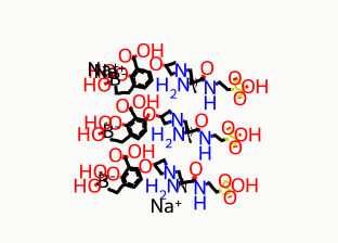 C[C@@](N)(CN1CC(Oc2ccc3c(c2C(=O)O)O[B-](O)(O)CC3)C1)C(=O)NCCS(=O)(=O)O.C[C@@](N)(CN1CC(Oc2ccc3c(c2C(=O)O)O[B-](O)(O)CC3)C1)C(=O)NCCS(=O)(=O)O.C[C@@](N)(CN1CC(Oc2ccc3c(c2C(=O)O)O[B-](O)(O)CC3)C1)C(=O)NCCS(=O)(=O)O.[Na+].[Na+].[Na+]